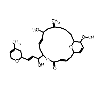 C=C1CCCC2OC(C=CC2OC)C/C=C/C(=O)OC(C(O)C=CC2CC(C)=CCO2)C/C=C/C(O)C1